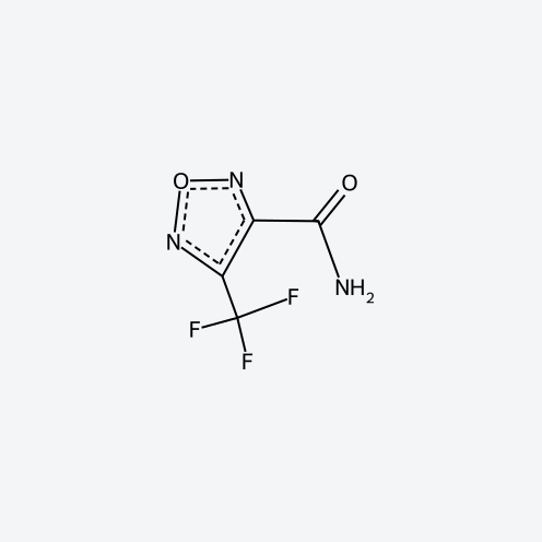 NC(=O)c1nonc1C(F)(F)F